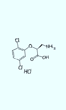 Cl.NC[C@H](Oc1cc(Cl)ccc1Cl)C(=O)O